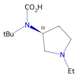 CCN1CC[C@H](N(C(=O)O)C(C)(C)C)C1